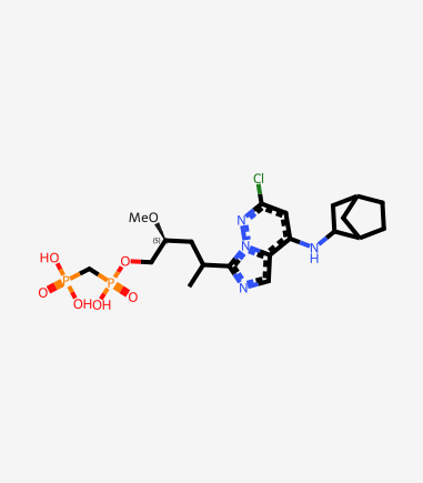 CO[C@H](COP(=O)(O)CP(=O)(O)O)CC(C)c1ncc2c(NC3CC4CCC3C4)cc(Cl)nn12